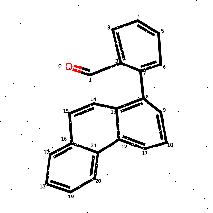 O=Cc1ccccc1-c1cccc2c1ccc1ccccc12